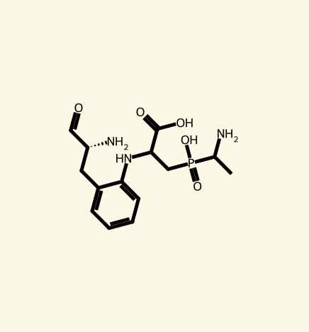 CC(N)P(=O)(O)CC(Nc1ccccc1C[C@@H](N)C=O)C(=O)O